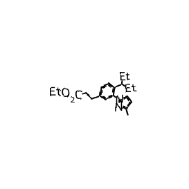 CCOC(=O)CCc1ccc(C(CC)CC)c(-n2ccc(C)n2)c1